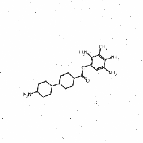 Cc1c(N)c(N)cc(OC(=O)C2CCC(C3CCC(N)CC3)CC2)c1N